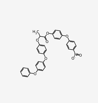 CC(Oc1ccc(Oc2ccc(Oc3ccccc3)cc2)cc1)C(=O)Oc1ccc(Oc2ccc([N+](=O)[O-])cc2)cc1